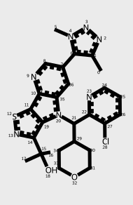 Cc1nnn(C)c1-c1cnc2c3snc(C(C)(C)O)c3n(C(c3ncccc3Cl)C3CCOCC3)c2c1